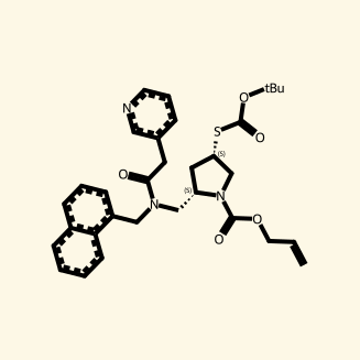 C=CCOC(=O)N1C[C@@H](SC(=O)OC(C)(C)C)C[C@H]1CN(Cc1cccc2ccccc12)C(=O)Cc1cccnc1